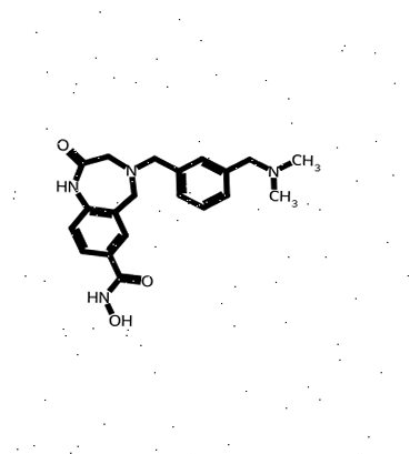 CN(C)Cc1cccc(CN2CC(=O)Nc3ccc(C(=O)NO)cc3C2)c1